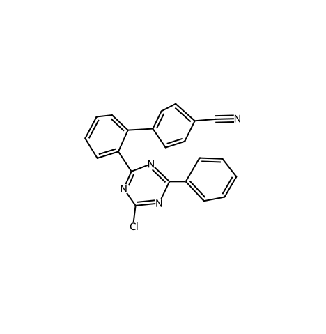 N#Cc1ccc(-c2ccccc2-c2nc(Cl)nc(-c3ccccc3)n2)cc1